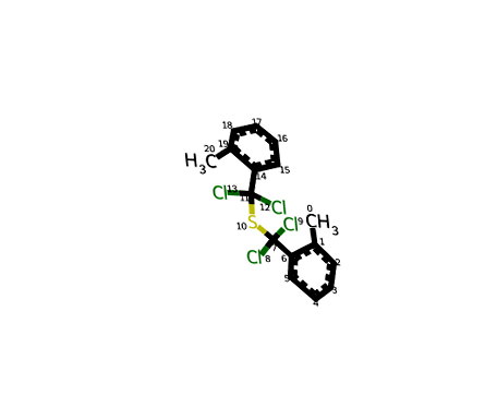 Cc1ccccc1C(Cl)(Cl)SC(Cl)(Cl)c1ccccc1C